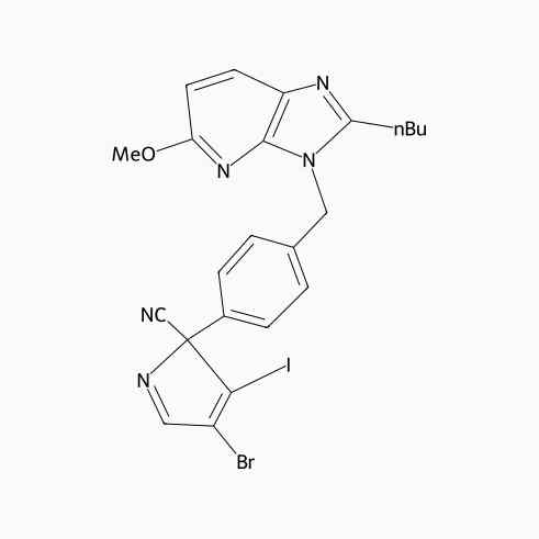 CCCCc1nc2ccc(OC)nc2n1Cc1ccc(C2(C#N)N=CC(Br)=C2I)cc1